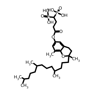 Cc1cc(OC(=O)CCC(P(=O)(O)O)P(=O)(O)O)cc2c1OC(C)(CCCC(C)CCCC(C)CCCC(C)C)CC2